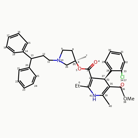 CCC1=C(C(=O)O[C@]2(C)CCN(CCC(c3ccccc3)c3ccccc3)C2)[C@@H](c2ccccc2Cl)C(C(=O)OC)=C(C)N1